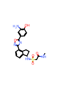 CNC(=O)CS(=O)(=O)N[C@H]1CCc2c(-c3noc(-c4ccc(O)c(N)c4)n3)cccc21